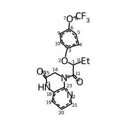 CCC(Oc1ccc(OC(F)(F)F)cc1)C(=O)N1CC(=O)Nc2cccnc21